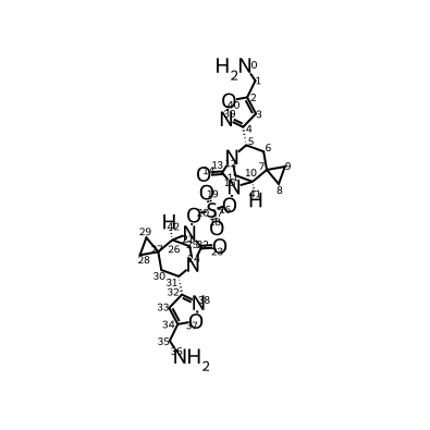 NCc1cc([C@@H]2CC3(CC3)[C@@H]3CN2C(=O)N3OS(=O)(=O)ON2C(=O)N3C[C@H]2C2(CC2)C[C@H]3c2cc(CN)on2)no1